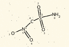 NS(=O)(=O)C[N+](=O)[O-]